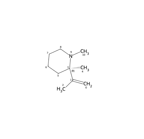 C=C(C)[C@@]1(C)CCCCN1C